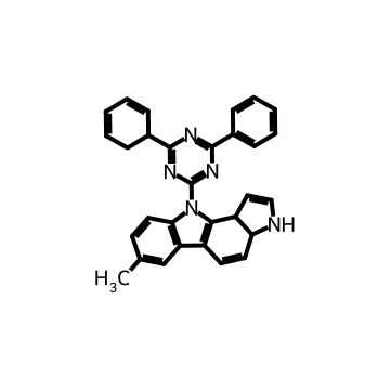 Cc1ccc2c(c1)c1c(n2-c2nc(-c3ccccc3)nc(C3C=CC=CC3)n2)C2C=CNC2C=C1